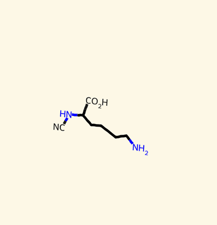 N#CNC(CCCCN)C(=O)O